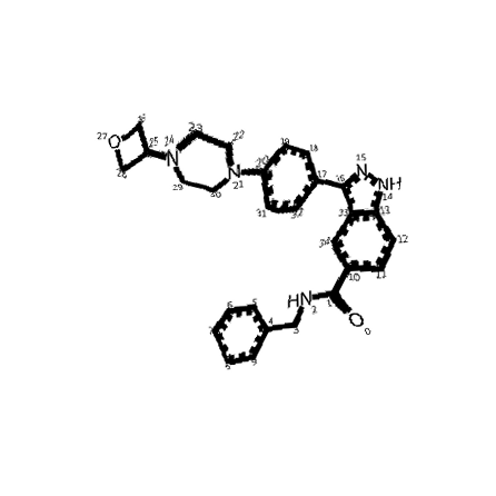 O=C(NCc1ccccc1)c1ccc2[nH]nc(-c3ccc(N4CCN(C5COC5)CC4)cc3)c2c1